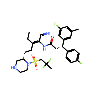 CC/C(CC[C@H]1CNCCN1S(=O)(=O)CC(C)(F)F)=C(\C=N)NC(=O)C[C@@H](c1ccc(F)cc1)c1cc(C)cc(F)c1